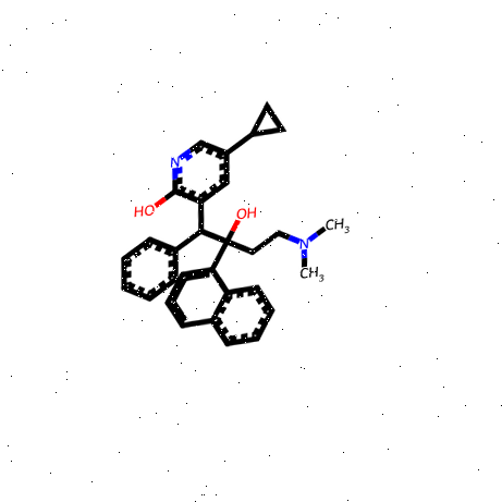 CN(C)CCC(O)(C1=C=C=Cc2ccccc21)C(c1ccccc1)c1cc(C2CC2)cnc1O